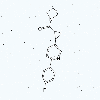 O=C(C1CC1c1ccc(-c2ccc(F)cc2)nc1)N1CCC1